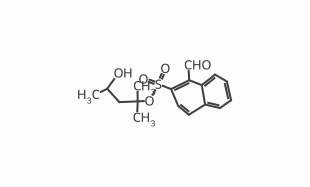 CC(O)CC(C)(C)OS(=O)(=O)c1ccc2ccccc2c1C=O